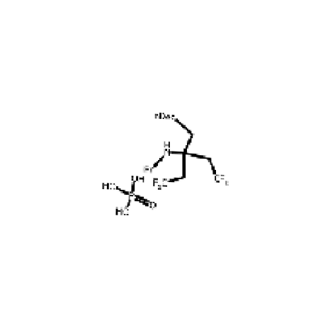 CCCCCCCCCCCC(CC(F)(F)F)(CC(F)(F)F)NC(C)C.O=P(O)(O)O